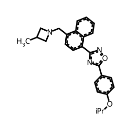 CC1CN(Cc2ccc(-c3noc(-c4ccc(OC(C)C)cc4)n3)c3ccccc23)C1